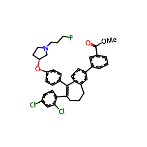 COC(=O)c1cccc(-c2ccc3c(c2)CCCC(c2ccc(Cl)cc2Cl)=C3c2ccc(O[C@H]3CCN(CCCF)C3)cc2)c1